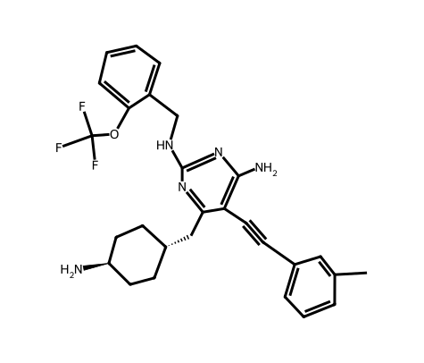 Cc1cccc(C#Cc2c(N)nc(NCc3ccccc3OC(F)(F)F)nc2C[C@H]2CC[C@H](N)CC2)c1